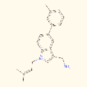 CC(C)=CCn1cc(CN)c2cc(-c3cccc(C)c3)ccc21